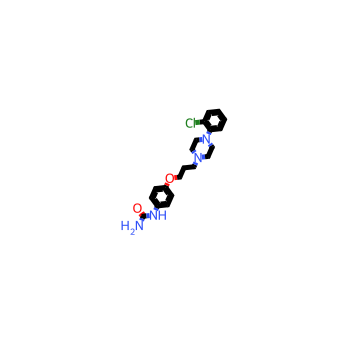 NC(=O)Nc1ccc(OCCCN2CCN(c3ccccc3Cl)CC2)cc1